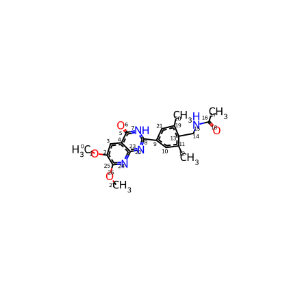 COc1cc2c(=O)[nH]c(-c3cc(C)c(CNC(C)=O)c(C)c3)nc2nc1OC